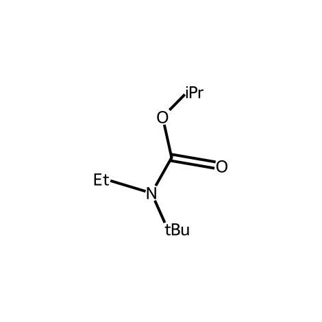 CCN(C(=O)OC(C)C)C(C)(C)C